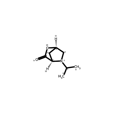 CC(C)N1C[C@H]2C[C@@H]1C(=O)O2